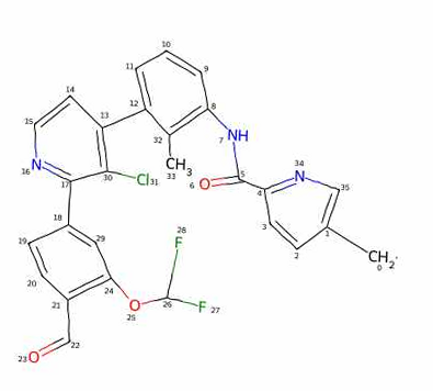 [CH2]c1ccc(C(=O)Nc2cccc(-c3ccnc(-c4ccc(C=O)c(OC(F)F)c4)c3Cl)c2C)nc1